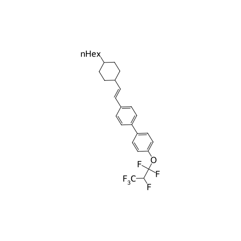 CCCCCCC1CCC(C=Cc2ccc(-c3ccc(OC(F)(F)C(F)C(F)(F)F)cc3)cc2)CC1